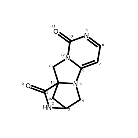 O=C1NC2CN3c4ccnc(=O)n4CC13C2